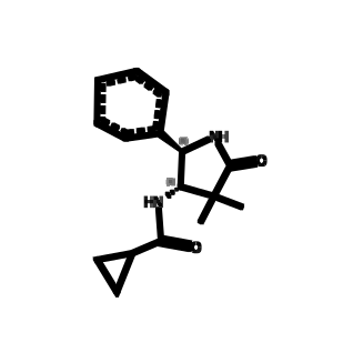 CC1(C)C(=O)N[C@H](c2ccccc2)[C@H]1NC(=O)C1CC1